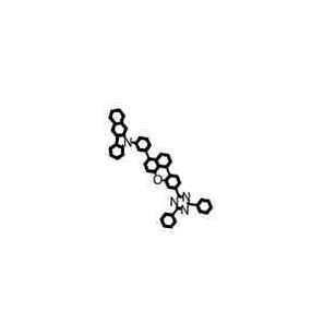 c1ccc(-c2nc(-c3ccccc3)nc(-c3ccc4c(c3)Oc3ccc(-c5cccc(-n6c7ccccc7c7cc8ccccc8cc76)c5)c5cccc-4c35)n2)cc1